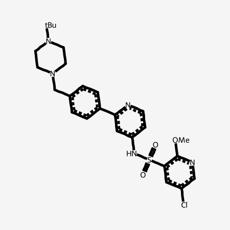 COc1ncc(Cl)cc1S(=O)(=O)Nc1ccnc(-c2ccc(CN3CCN(C(C)(C)C)CC3)cc2)c1